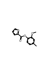 COc1cc(C)ccc1OC(=O)c1cccs1